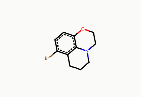 Brc1ccc2c3c1CCCN3CCO2